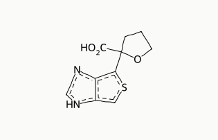 O=C(O)C1(c2scc3[nH]cnc23)CCCO1